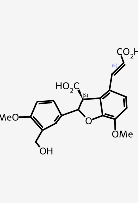 COc1ccc(C2Oc3c(OC)ccc(/C=C/C(=O)O)c3[C@@H]2C(=O)O)cc1CO